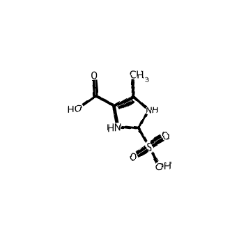 CC1=C(C(=O)O)NC(S(=O)(=O)O)N1